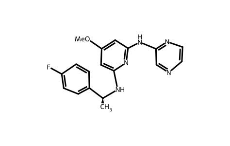 COc1cc(Nc2cnccn2)nc(N[C@@H](C)c2ccc(F)cc2)c1